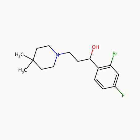 CC1(C)CCN(CCC(O)c2ccc(F)cc2Br)CC1